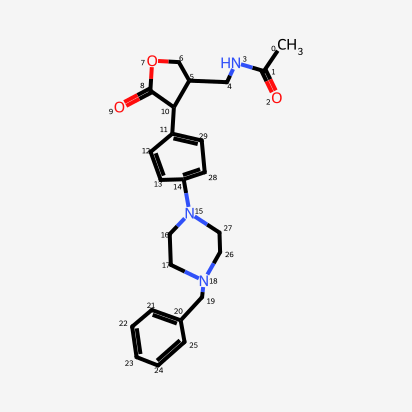 CC(=O)NCC1COC(=O)C1c1ccc(N2CCN(Cc3ccccc3)CC2)cc1